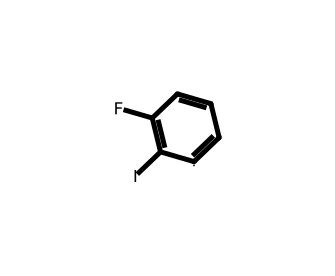 Fc1ccc[c]c1I